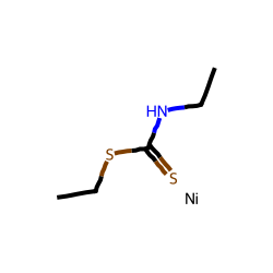 CCNC(=S)SCC.[Ni]